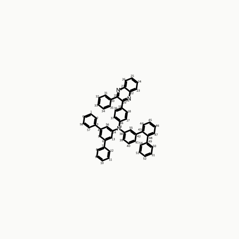 c1ccc(-c2cc(-c3ccccc3)cc(N(c3ccc(-c4nc5ccccc5nc4-c4ccccc4)cc3)c3cccc(-c4ccccc4-c4ccccc4)c3)c2)cc1